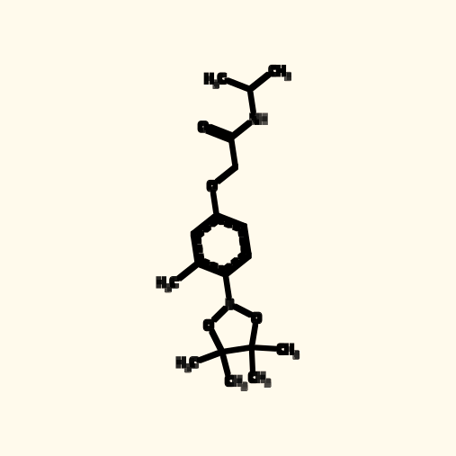 Cc1cc(OCC(=O)NC(C)C)ccc1B1OC(C)(C)C(C)(C)O1